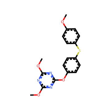 COc1ccc(Sc2ccc(Oc3nc(OC)nc(OC)n3)cc2)cc1